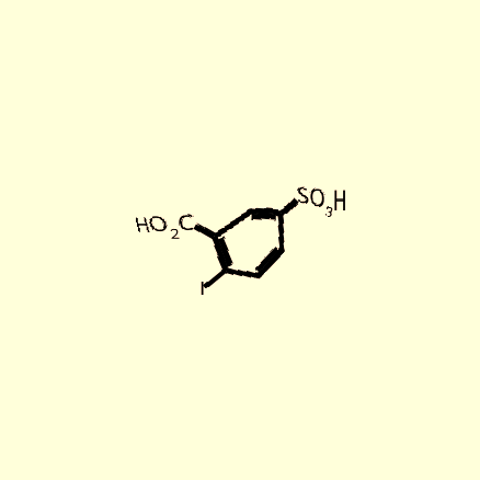 O=C(O)c1cc(S(=O)(=O)O)ccc1I